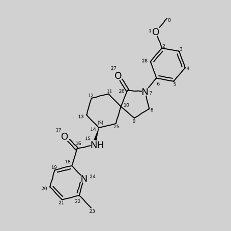 COc1cccc(N2CCC3(CCC[C@H](NC(=O)c4cccc(C)n4)C3)C2=O)c1